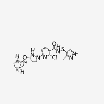 Cc1nn(C)cc1SNC(=O)c1ccc(N2C=CC(O[C@H]3C[C@H]4CC[C@@H]3C4)N2)nc1Cl